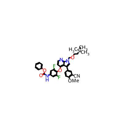 COc1ccc(-c2cn(COCC[Si](C)(C)C)c3nccc(Oc4c(F)cc(NC(=O)Oc5ccccc5)cc4F)c23)cc1C#N